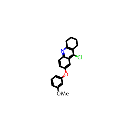 COc1cccc(Oc2ccc3nc4c(c(Cl)c3c2)CCCC4)c1